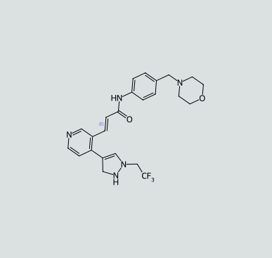 O=C(/C=C/c1cnccc1C1=CN(CC(F)(F)F)NC1)Nc1ccc(CN2CCOCC2)cc1